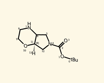 CC(C)(C)OC(=O)N1CC2NCCO[C@@H]2C1